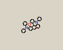 c1ccc(N(c2ccccc2)c2cccc3c2-c2cccc4ccc(N(c5ccccc5)c5ccccc5)c(c24)O3)cc1